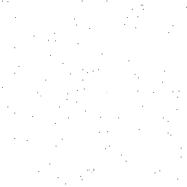 CCC1=CN[C@H]([C@H](O)c2ccnc3ccc(OC)cc23)CC1